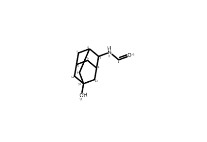 O=CNC1C2CC3CC1CC(O)(C3)C2